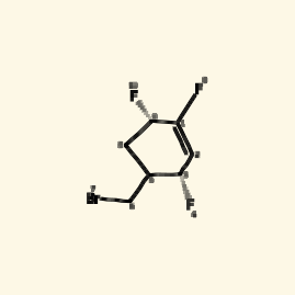 FC1=C[C@H](F)C(CBr)C[C@@H]1F